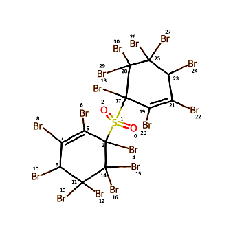 O=S(=O)(C1(Br)C(Br)=C(Br)C(Br)C(Br)(Br)C1(Br)Br)C1(Br)C(Br)=C(Br)C(Br)C(Br)(Br)C1(Br)Br